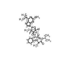 CC(C)OC(=O)[C@@H](C)NP(=S)(Oc1ccccc1)OC1[C@H]2O[C@@H](n3cnc4c(N(C)C)nc(N)nc43)[C@](C)(F)[C@@]12O